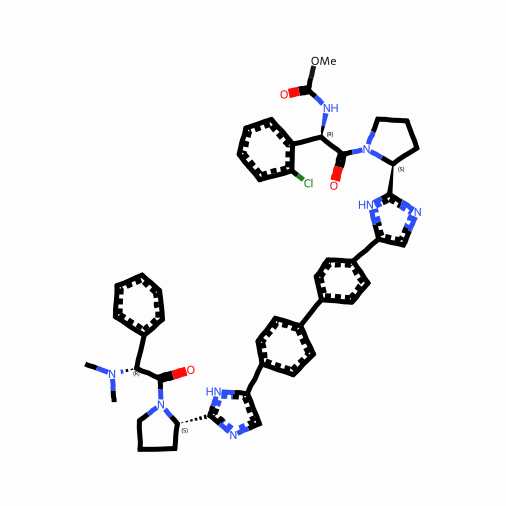 COC(=O)N[C@@H](C(=O)N1CCC[C@H]1c1ncc(-c2ccc(-c3ccc(-c4cnc([C@@H]5CCCN5C(=O)[C@@H](c5ccccc5)N(C)C)[nH]4)cc3)cc2)[nH]1)c1ccccc1Cl